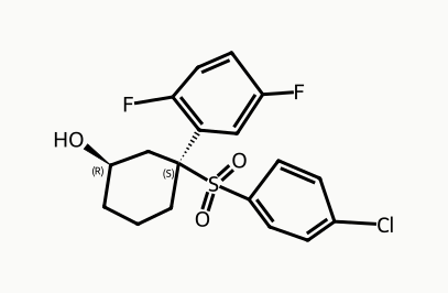 O=S(=O)(c1ccc(Cl)cc1)[C@@]1(c2cc(F)ccc2F)CCC[C@@H](O)C1